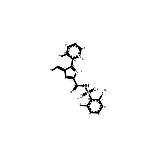 C/C=C1\C=C(C(=O)NS(=O)(=O)c2c(C)cccc2Cl)N=C1c1ncccc1F